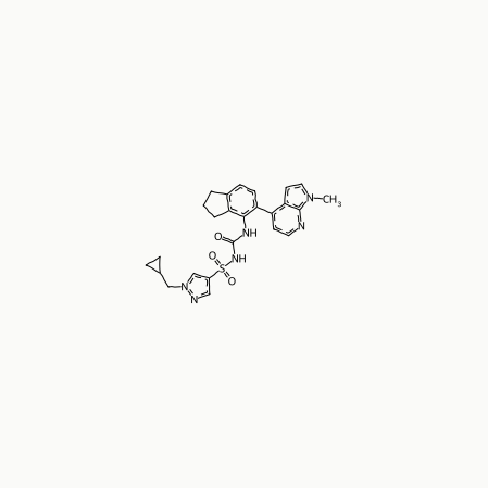 Cn1ccc2c(-c3ccc4c(c3NC(=O)NS(=O)(=O)c3cnn(CC5CC5)c3)CCC4)ccnc21